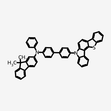 CC1(C)c2ccccc2-c2ccc(N(c3ccccc3)c3ccc(-c4ccc(-n5c6ccccc6c6c7sc8ccccc8c7ccc65)cc4)cc3)cc21